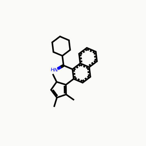 CC1=CC(C)C(c2ccc3ccccc3c2C(=N)C2CCCCC2)=C1C